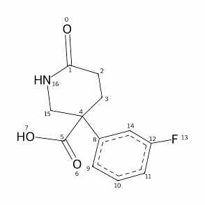 O=C1CCC(C(=O)O)(c2cccc(F)c2)CN1